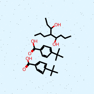 CC(C)(C)c1ccc(C(=O)O)cc1.CC(C)(C)c1ccc(C(=O)O)cc1.CCCC(O)C(CCC)C(O)CC